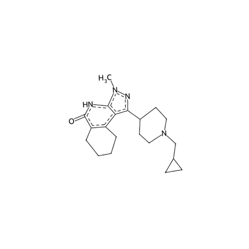 Cn1nc(C2CCN(CC3CC3)CC2)c2c3c(c(=O)[nH]c21)CCCC3